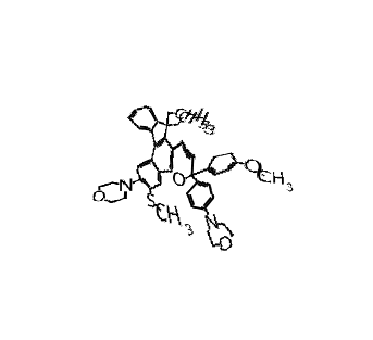 CCC1(CC)c2ccccc2-c2c1c1c(c3cc(SC)c(N4CCOCC4)cc23)OC(C2=CC=C(OC)CC2)(c2ccc(N3CCOCC3)cc2)C=C1